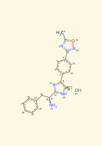 Cc1nc(-c2ccc(-c3c[nH]c([C@@H](N)Cc4ccccc4)n3)cc2)no1.Cl.Cl